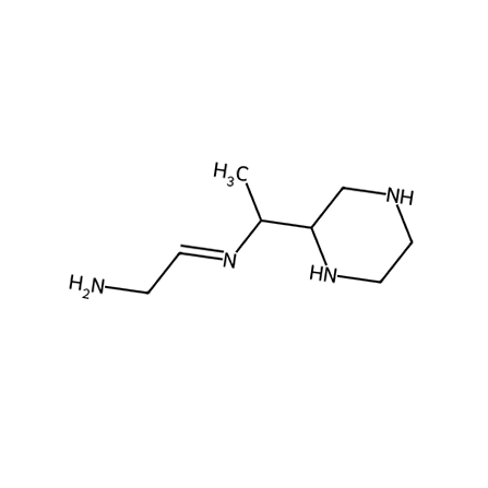 CC(N=CCN)C1CNCCN1